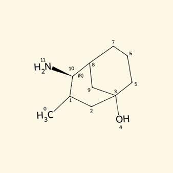 CC1CC2(O)CCCC(C2)[C@@H]1N